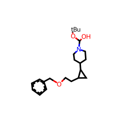 CC(C)(C)OC(O)N1CCC(C2CC2CCOCc2ccccc2)CC1